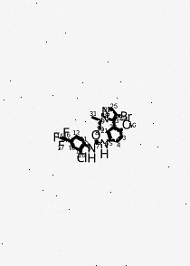 COc1ccc(NC(=O)Nc2ccc(C(F)(F)F)cc2Cl)cc1-c1c(Br)cnn1C(C)C